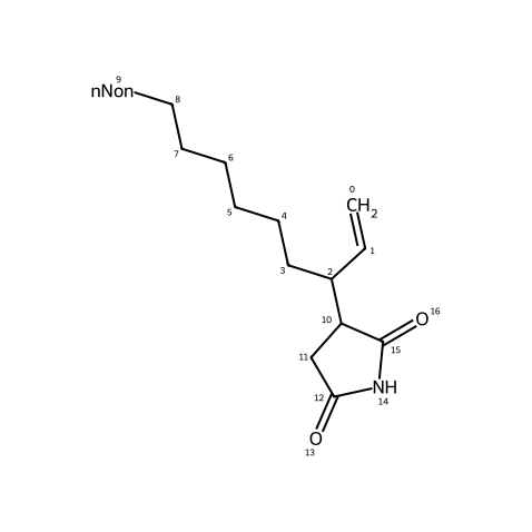 C=CC(CCCCCCCCCCCCCCC)C1CC(=O)NC1=O